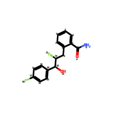 NC(=O)c1ccccc1C[C@H](F)[C@@H](O)c1ccc(F)cc1